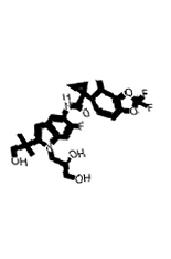 CC1C2=C(C=CC1C1(C(=O)Nc3cc4cc(C(C)(C)CO)n(C[C@@H](O)CO)c4cc3F)CC1)OC(F)(F)O2